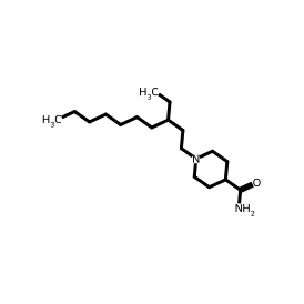 CCCCCCCC(CC)CCN1CCC(C(N)=O)CC1